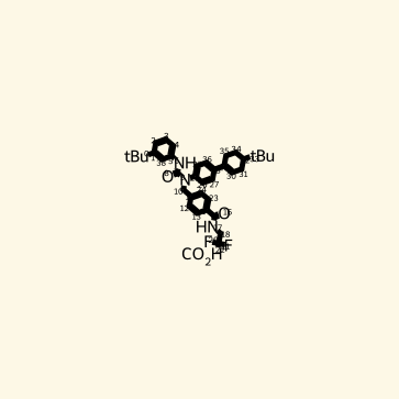 CC(C)(C)c1cccc(NC(=O)N(Cc2ccc(C(=O)NCC(F)(F)C(=O)O)cc2)c2ccc(C3=CCC(C(C)(C)C)CC3)cc2)c1